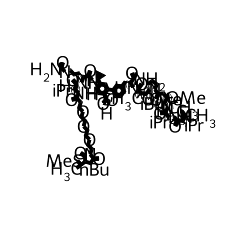 CCCCC(C)(SC)C1CC(=O)N(CCOCCOCCOCCC(=O)N[C@H](C(=O)N[C@@H](CCCNC(N)=O)C(=O)NC2(c3ccc([SH](=O)=O)c(-c4cccc(C[C@H](NC(=O)[C@H](C)[C@@H](OC)[C@@H]5CCCN5C(=O)C[C@@H](OC)[C@H]([C@@H](C)CC)N(C)C(=O)[C@@H](NC(=O)[C@H](C(C)C)N(C)C)C(C)C)C(N)=O)c4)c3)CC2)C(C)C)C1=O